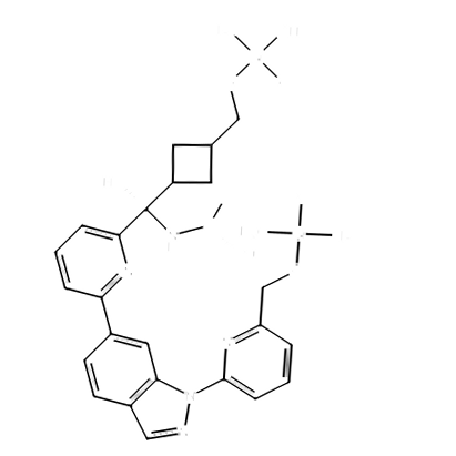 CC(C)(C)[S@@+]([O-])N[C@@](O)(c1cccc(-c2ccc3cnn(-c4cccc(CO[Si](C)(C)C(C)(C)C)n4)c3c2)n1)C1CC(CO[Si](C)(C)C(C)(C)C)C1